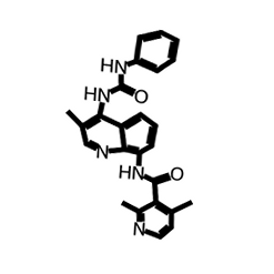 Cc1ccnc(C)c1C(=O)Nc1cccc2c(NC(=O)Nc3ccccc3)c(C)cnc12